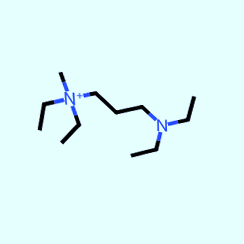 CCN(CC)CCC[N+](C)(CC)CC